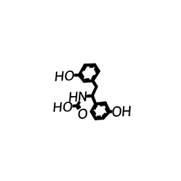 O=C(O)NC(Cc1cccc(O)c1)c1cccc(O)c1